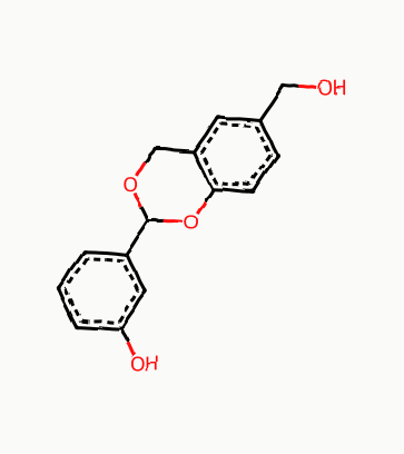 OCc1ccc2c(c1)COC(c1cccc(O)c1)O2